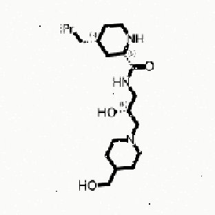 CC(C)C[C@@H]1CCN[C@H](C(=O)NC[C@@H](O)CN2CCC(CO)CC2)C1